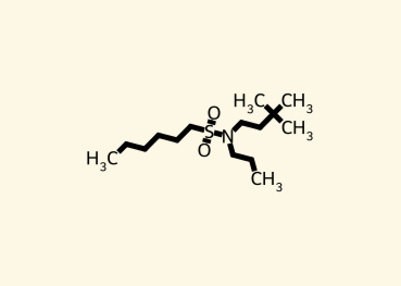 CCCCCCS(=O)(=O)N(CCC)CCC(C)(C)C